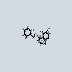 Ic1ccc2ncnc(OCc3ccccc3)c2c1